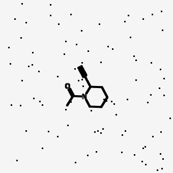 C#CC1CCCCN1C(C)=O